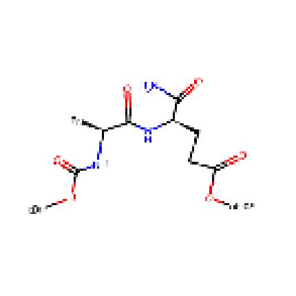 CCCCCCOC(=O)CC[C@@H](NC(=O)[C@@H](NC(=O)OC(C)(C)C)C(C)C)C(N)=O